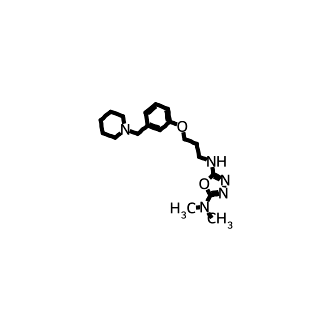 CN(C)c1nnc(NCCCOc2cccc(CN3CCCCC3)c2)o1